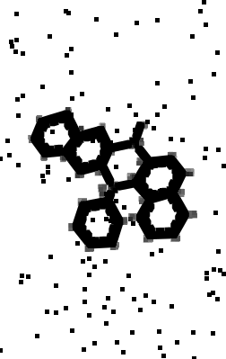 CN1c2cc3ccccc3cc2N(c2ccccc2)c2c1ccc1ccccc21